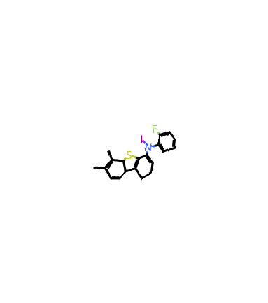 CC1=C(C)C2SC3=C(CCC=C3N(I)c3ccccc3F)C2C=C1